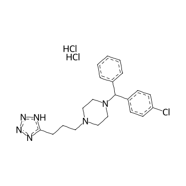 Cl.Cl.Clc1ccc(C(c2ccccc2)N2CCN(CCCc3nnn[nH]3)CC2)cc1